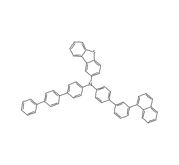 c1ccc(-c2ccc(-c3ccc(N(c4ccc(-c5cccc(-c6cccc7ccccc67)c5)cc4)c4ccc5sc6ccccc6c5c4)cc3)cc2)cc1